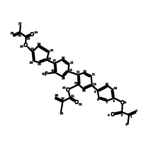 C=C(C)C(=O)Oc1ccc(-c2ccc(-c3ccc(-c4ccc(OC(=O)C(=C)C)cc4)c(F)c3)c(OC(=O)C(=C)C)c2)cc1